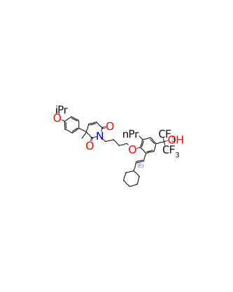 CCCc1cc(C(O)(C(F)(F)F)C(F)(F)F)cc(/C=C/C2CCCCC2)c1OCCCCN1C(=O)C=CC(C)(c2ccc(OC(C)C)cc2)C1=O